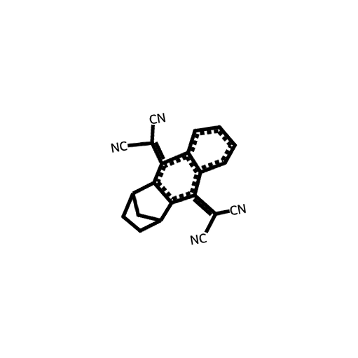 N#CC(C#N)=c1c2c(c(=C(C#N)C#N)c3ccccc13)C1CCC2C1